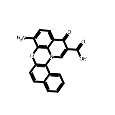 Nc1ccc2c(=O)c(C(=O)O)cn3c2c1Oc1ccc2ccccc2c1-3